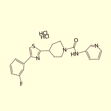 Cl.Cl.O=C(Nc1cccnc1)N1CCC(c2nc(-c3cccc(F)c3)cs2)CC1